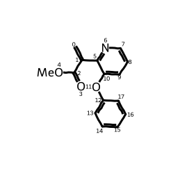 C=C(C(=O)OC)c1ncccc1Oc1ccccc1